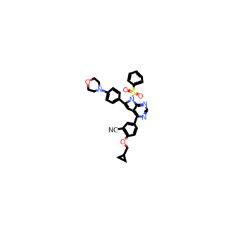 N#Cc1cc(-c2ncnc3c2cc(-c2ccc(N4CCOCC4)cc2)n3S(=O)(=O)c2ccccc2)ccc1OCC1CC1